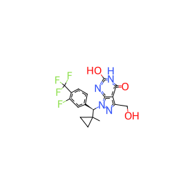 CC1([C@@H](c2ccc(C(F)(F)F)c(F)c2)n2nc(CO)c3c(=O)[nH]c(O)nc32)CC1